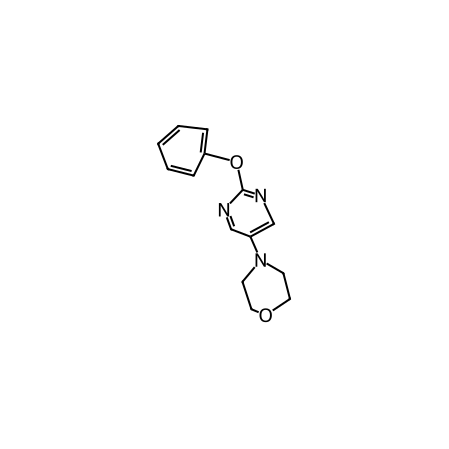 c1ccc(Oc2ncc(N3CCOCC3)cn2)cc1